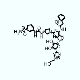 NS(=O)(=O)c1cccc(NC(=O)N[C@@H]2CCN(c3nc(N[C@H](CO)Cc4ccccc4)c4ncn([C@@H]5O[C@H](c6nnn(CCO)n6)[C@@H](O)[C@@H]5O)c4n3)C2)c1